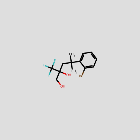 CC(C)(CC(O)(CO)C(F)(F)F)c1ccccc1Br